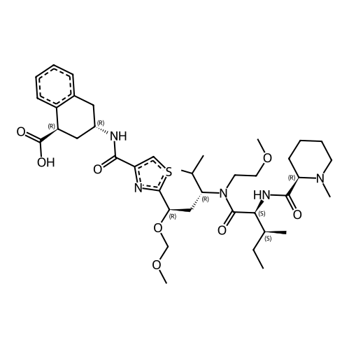 CC[C@H](C)[C@H](NC(=O)[C@H]1CCCCN1C)C(=O)N(CCOC)[C@H](C[C@@H](OCOC)c1nc(C(=O)N[C@H]2Cc3ccccc3[C@H](C(=O)O)C2)cs1)C(C)C